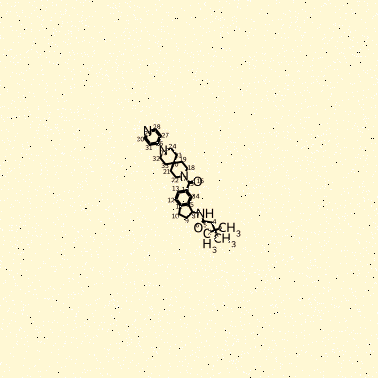 CC(C)(C)CC(=O)NC1CCc2ccc(C(=O)N3CCC4(CC3)CCN(c3ccncc3)CC4)cc21